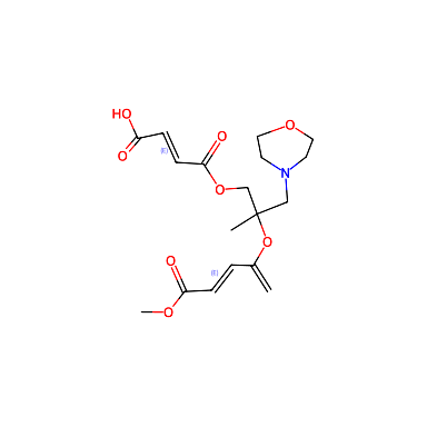 C=C(/C=C/C(=O)OC)OC(C)(COC(=O)/C=C/C(=O)O)CN1CCOCC1